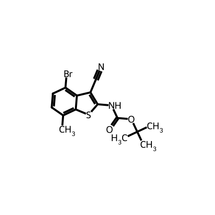 Cc1ccc(Br)c2c(C#N)c(NC(=O)OC(C)(C)C)sc12